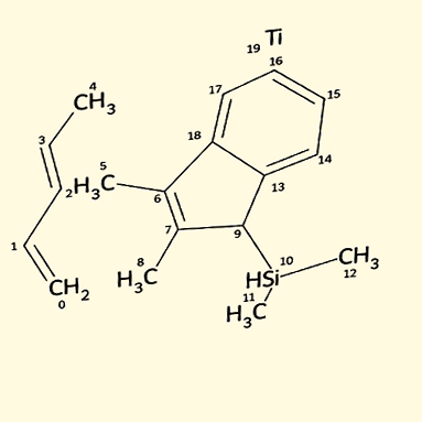 C=CC=CC.CC1=C(C)C([SiH](C)C)c2ccccc21.[Ti]